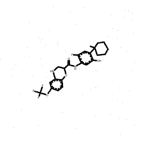 CC1(c2cc(F)c(NC(=O)C3CNc4cc(OC(F)(F)F)ccc4O3)cc2O)CCCCC1